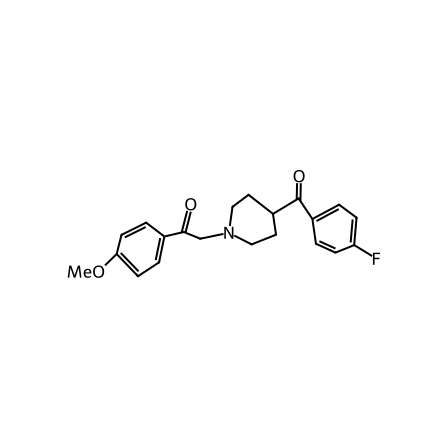 COc1ccc(C(=O)CN2CCC(C(=O)c3ccc(F)cc3)CC2)cc1